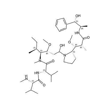 CC[C@H](C)[C@@H]([C@@H](CC(O)N1CCC[C@H]1[C@H](OC)[C@@H](C)C(=O)N[C@H](C)[C@@H](O)c1ccccc1)OC)N(C)C(=O)[C@@H](NC(=O)[C@@H](NC)C(C)C)C(C)C